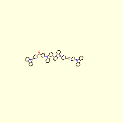 O=C(c1ccc(-n2c3ccccc3c3ccccc32)cc1)c1ccc(-n2c3ccccc3c3c(-c4cccc5c4c4ccccc4n5-c4ccc(/C=C/c5ccc(-n6c7ccccc7c7ccccc76)cc5)cc4)cccc32)cc1